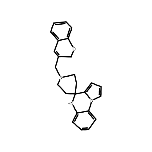 C1=C(CN2CCC3(CC2)Nc2ccccc2-n2cccc23)COc2ccccc21